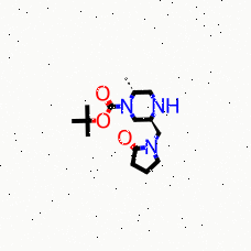 C[C@@H]1CN[C@@H](CN2CCCC2=O)CN1C(=O)OC(C)(C)C